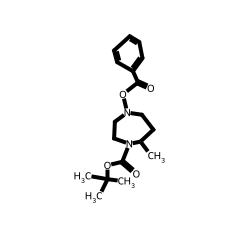 CC1CCN(OC(=O)c2ccccc2)CCN1C(=O)OC(C)(C)C